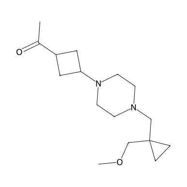 COCC1(CN2CCN(C3CC(C(C)=O)C3)CC2)CC1